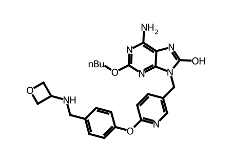 CCCCOc1nc(N)c2nc(O)n(Cc3ccc(Oc4ccc(CNC5COC5)cc4)nc3)c2n1